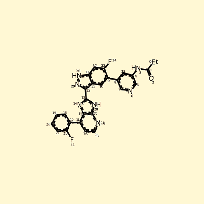 CCC(=O)Nc1cncc(-c2cc3c(-c4nc5c(-c6ccccc6F)ccnc5[nH]4)n[nH]c3cc2F)c1